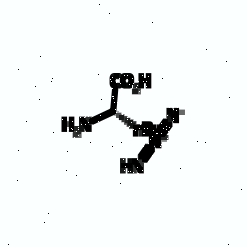 CCCC[C@H](N)C(=O)O.[N-]=[N+]=N